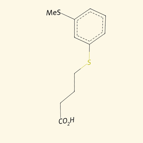 CSc1cccc(SCCCC(=O)O)c1